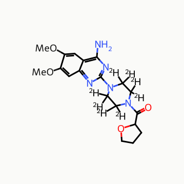 [2H]C1([2H])N(C(=O)C2CCCO2)C([2H])([2H])C([2H])([2H])N(c2nc(N)c3cc(OC)c(OC)cc3n2)C1([2H])[2H]